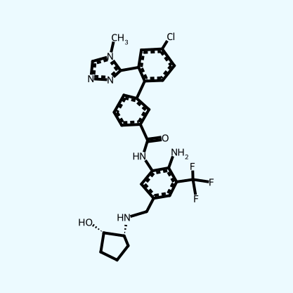 Cn1cnnc1-c1cc(Cl)ccc1-c1cccc(C(=O)Nc2cc(CN[C@@H]3CCC[C@@H]3O)cc(C(F)(F)F)c2N)c1